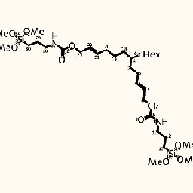 CCCCCCC(CCC=CCOC(=O)NCCC[Si](OC)(OC)OC)CCC/C=C/COC(=O)NCCC[Si](OC)(OC)OC